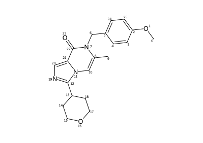 COc1ccc(Cn2c(C)cn3c(C4CCOCC4)ncc3c2=O)cc1